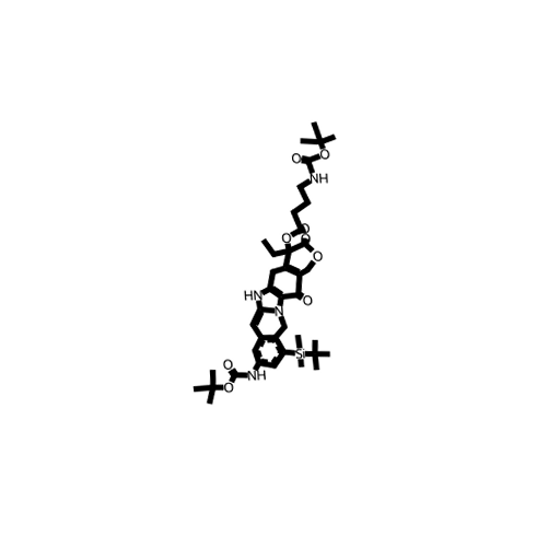 CCC1(OC(=O)CCCNC(=O)OC(C)(C)C)C(=O)OCC2=C1CC1=C(C2=O)N2Cc3c(cc(NC(=O)OC(C)(C)C)cc3[Si](C)(C)C(C)(C)C)C=C2N1